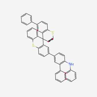 c1ccc(Nc2ccc(-c3ccc4c(c3)C3(c5ccccc5Sc5ccc(-c6ccccc6)cc53)c3ccccc3S4)cc2-c2ccccc2)cc1